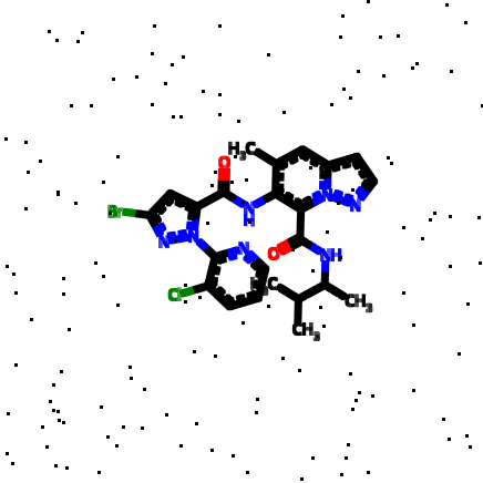 Cc1cc2ccnn2c(C(=O)NC(C)C(C)C)c1NC(=O)c1cc(Br)nn1-c1ncccc1Cl